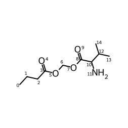 CCCC(=O)OCOC(=O)C(N)C(C)C